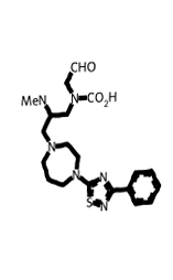 CNC(CN1CCCN(c2nc(-c3ccccc3)ns2)CC1)CN(CC=O)C(=O)O